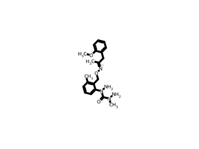 COc1ccccc1C/C(C)=N/OCc1c(C)cccc1N(N)C(=O)N(C)N